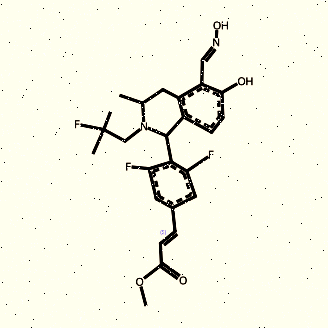 COC(=O)/C=C/c1cc(F)c(C2c3ccc(O)c(C=NO)c3CC(C)N2CC(C)(C)F)c(F)c1